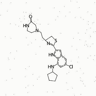 O=C1CN(CCC2CSC(c3cc4cc(Cl)cc(NC5CCCC5)c4[nH]3)=N2)CCN1